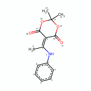 BC(Nc1ccccc1)=C1C(=O)OC(C)(C)OC1=O